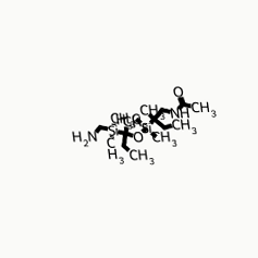 CCC(C)(O[Si](C)(C)C(C)(CC)CNC(C)=O)[Si](C)(C)CN